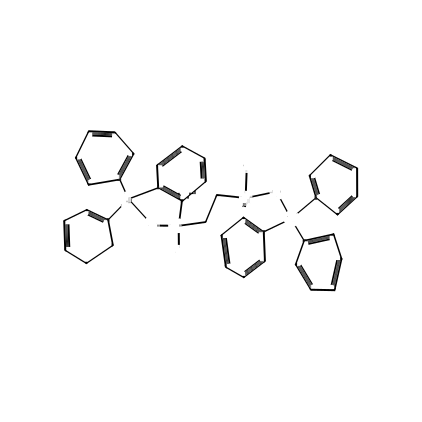 C[Si](C)(CC[Si](C)(C)O[Si](c1ccccc1)(c1ccccc1)c1ccccc1)O[Si](C1=CC=CCC1)(c1ccccc1)c1ccccc1